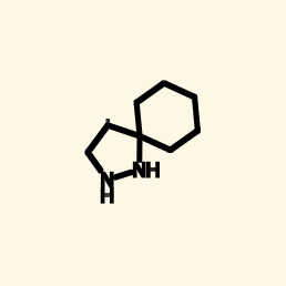 [CH]1CNNC12CCCCC2